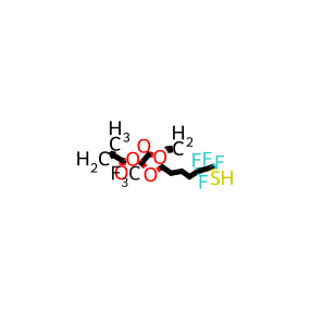 C=COC(=O)C(OCCCCC(F)(F)C(F)(F)S)(OC(=O)C(=C)C)C(F)(F)F